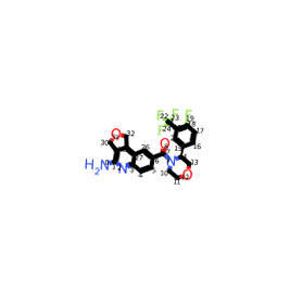 Nc1nc2ccc(C(=O)N3CCOC[C@@H]3c3ccc(F)c(C(F)(F)F)c3)cc2c2c1COC2